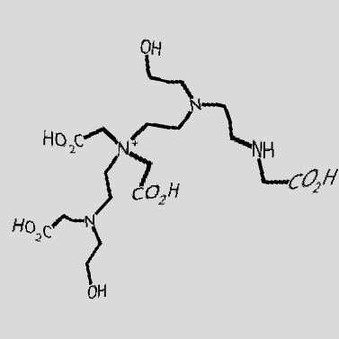 O=C(O)CNCCN(CCO)CC[N+](CCN(CCO)CC(=O)O)(CC(=O)O)CC(=O)O